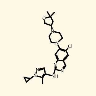 Cc1c(Nc2ncc3cc(Cl)c(N4CCN(C5COC(C)(C)C5)CC4)cc3n2)cnn1C1CC1